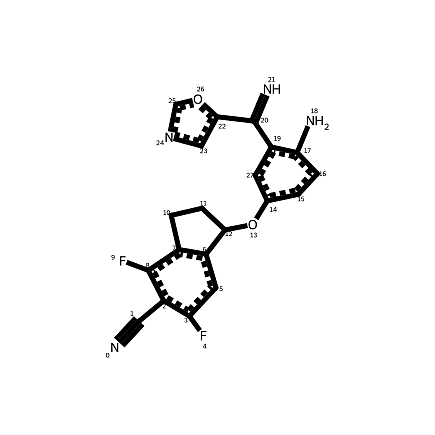 N#Cc1c(F)cc2c(c1F)CCC2Oc1ccc(N)c(C(=N)c2cnco2)c1